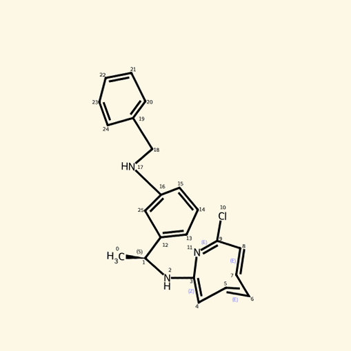 C[C@H](NC1=C/C=C/C=C/C(Cl)=N\1)c1cccc(NCc2ccccc2)c1